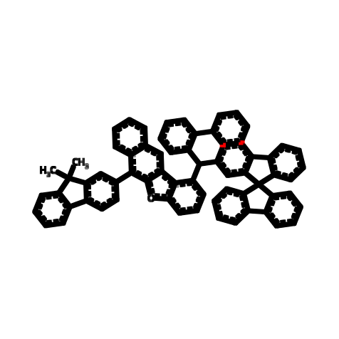 CC1(C)c2ccccc2-c2ccc(-c3c4ccccc4cc4c3oc3cccc(C(c5ccc6c(c5)C5(c7ccccc7-c7ccccc75)c5ccccc5-6)c5ccccc5-c5ccccc5)c34)cc21